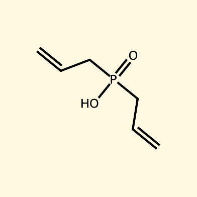 C=CCP(=O)(O)CC=C